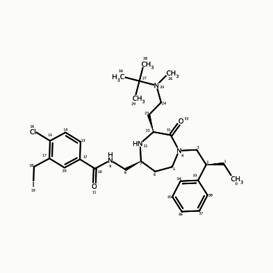 CC[C@H](CN1CC[C@@H](CNC(=O)c2ccc(Cl)c(CI)c2)N[C@@H](CCN(C)C(C)(C)C)C1=O)c1ccccc1